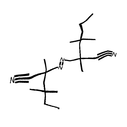 CCC(C)(C)C(C)(C#N)N=NC(C)(C#N)C(C)(C)CC